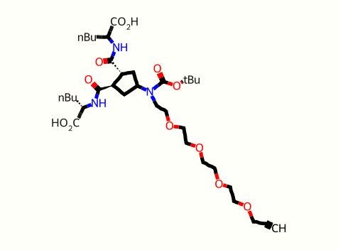 C#CCOCCOCCOCCOCCN(C(=O)OC(C)(C)C)C1C[C@@H](C(=O)NC(CCCC)C(=O)O)[C@H](C(=O)N[C@@H](CCCC)C(=O)O)C1